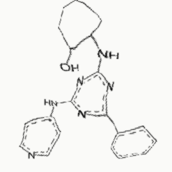 OC1CCCCC1Nc1nc(Nc2ccncc2)nc(-c2ccccc2)n1